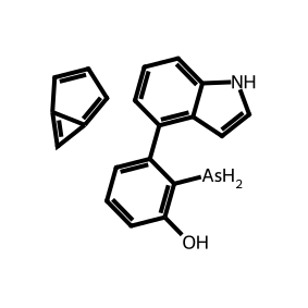 Oc1cccc(-c2cccc3[nH]ccc23)c1[AsH2].c1cc2cc-2c1